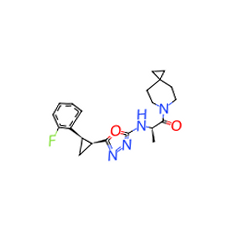 C[C@@H](Nc1nnc([C@H]2C[C@H]2c2ccccc2F)o1)C(=O)N1CCC2(CC1)CC2